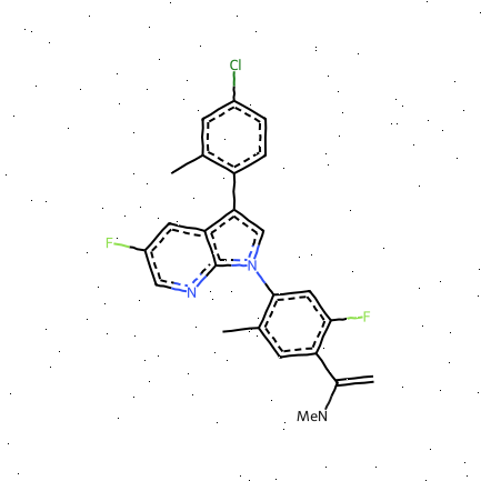 C=C(NC)c1cc(C)c(-n2cc(-c3ccc(Cl)cc3C)c3cc(F)cnc32)cc1F